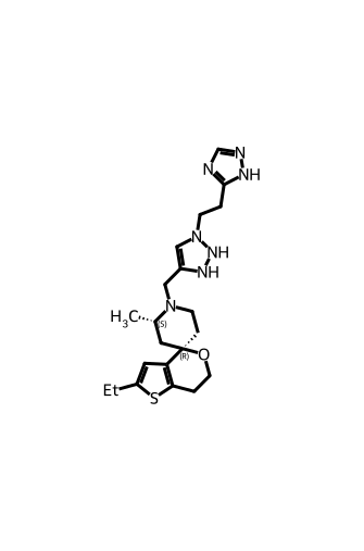 CCc1cc2c(s1)CCO[C@@]21CCN(CC2=CN(CCc3ncn[nH]3)NN2)[C@@H](C)C1